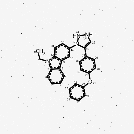 CCn1c2ccccc2c2cc(N3NNC=C3c3ccc(Oc4ccccc4)cc3)ccc21